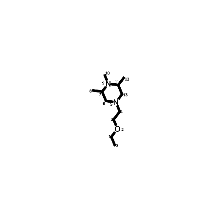 CCOCCN1CC(C)N(C)C(C)C1